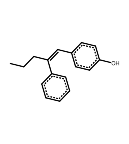 CCC/C(=C/c1ccc(O)cc1)c1ccccc1